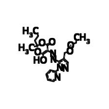 CCCC1(C)OC(=O)C(N=Nc2c(COOCC)cnn2-c2ccccn2)=C(O)O1